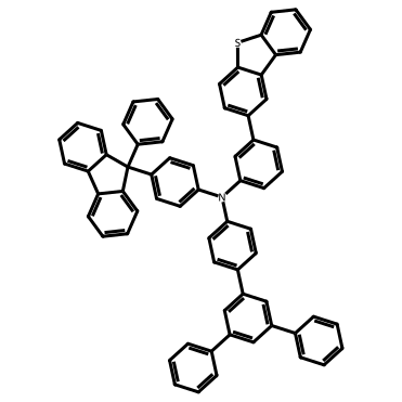 c1ccc(-c2cc(-c3ccccc3)cc(-c3ccc(N(c4ccc(C5(c6ccccc6)c6ccccc6-c6ccccc65)cc4)c4cccc(-c5ccc6sc7ccccc7c6c5)c4)cc3)c2)cc1